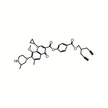 C#CCC(CC#C)COC(=O)c1ccc(OC(=O)c2cn(C3CC3)c3c(OC)c(N4CCNC(C)C4)c(F)cc3c2=O)cc1